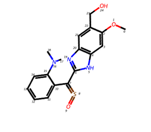 COc1cc2[nH]c(C(=S=O)c3ccccc3N(C)C)nc2cc1CO